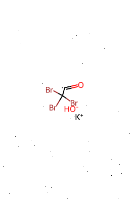 O=[C]C(Br)(Br)Br.[K+].[OH-]